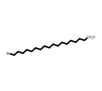 O=C(O)CCCCCCCCCCCCCCCCCBr